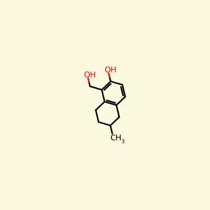 CC1CCc2c(ccc(O)c2CO)C1